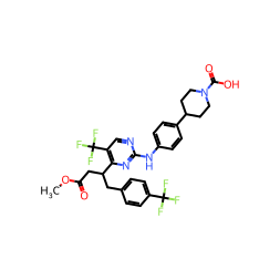 COC(=O)CC(Cc1ccc(C(F)(F)F)cc1)c1nc(Nc2ccc(C3CCN(C(=O)O)CC3)cc2)ncc1C(F)(F)F